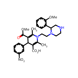 COC(=O)C1=C(C)N(CCN2CCNCC2c2ccccc2OC)C(C)=C(C(=O)O)C1c1cccc([N+](=O)[O-])c1